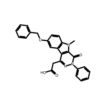 Cn1c2ccc(OCc3ccccc3)cc2c2c(CC(=O)O)nn(-c3ccccc3)c(=O)c21